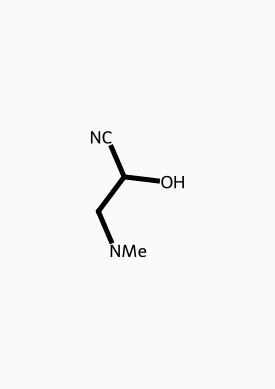 CNCC(O)C#N